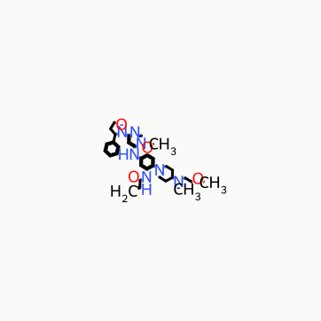 C=CC(=O)Nc1cc(Nc2cc(N3OCCC3c3ccccc3)ncn2)c(OC)cc1N1CCC(N(C)CCOC)CC1